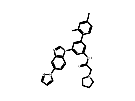 O=C(CN1CCCC1)Nc1cc(-c2ccc(F)cc2F)cc(-n2cnc3cc(-n4cccn4)ccc32)c1